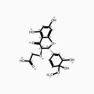 COC1(O)C=CC([C@H]2Oc3cc(O)cc(O)c3C(=O)[C@@H]2OCC(=O)O)=CC1O